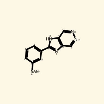 CSc1cccc(-c2nc3cnncc3[nH]2)c1